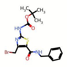 CC(C)(C)OC(=O)Nc1nc(CBr)c(C(=O)NCc2ccccc2)s1